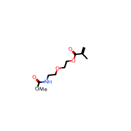 C=C(C)C(=O)OCCOCCNC(=O)OC